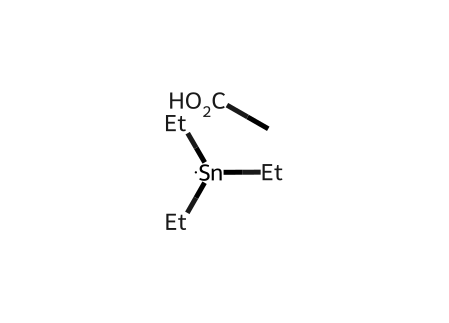 CC(=O)O.C[CH2][Sn]([CH2]C)[CH2]C